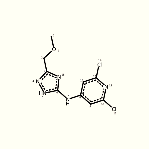 COCc1n[nH]c(Nc2cc(Cl)nc(Cl)c2)n1